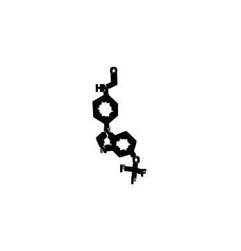 O=CNc1ccc(-n2cnc3cc(OC(F)(F)F)ccc32)cc1